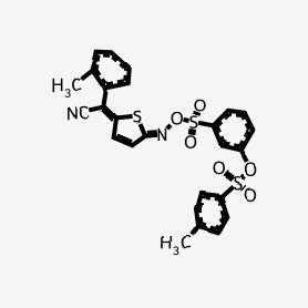 Cc1ccc(S(=O)(=O)Oc2cccc(S(=O)(=O)O/N=C3C=C/C(=C(\C#N)c4ccccc4C)S/3)c2)cc1